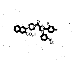 CCOc1cccc(-n2cc(C(=O)N3CCN(c4cc5ccccc5cc4C(=O)O)CC3)nc2-c2ccc(C)cc2F)c1